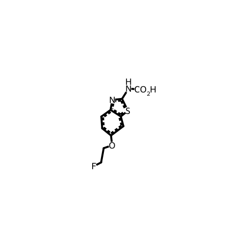 O=C(O)Nc1nc2ccc(OCCF)cc2s1